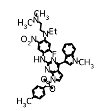 CCN(CCN(C)C)c1cc(F)c(Nc2nc(-c3cn(C)c4ccccc34)c3ccn(S(=O)(=O)c4ccc(C)cc4)c3n2)cc1[N+](=O)[O-]